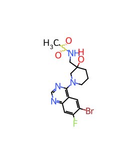 CS(=O)(=O)NCC1(O)CCCN(c2ncnc3cc(F)c(Br)cc23)C1